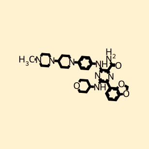 CN1CCN(C2CCN(c3ccc(Nc4nc(NC5CCOCC5)c(-c5cccc6c5OCO6)nc4C(N)=O)cc3)CC2)CC1